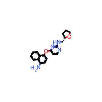 Nc1ccc(Oc2ccnc(NC[C@@H]3CCCO3)n2)c2ccccc12